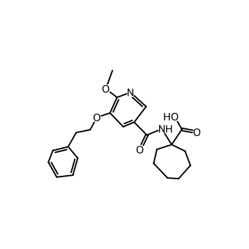 COc1ncc(C(=O)NC2(C(=O)O)CCCCCC2)cc1OCCc1ccccc1